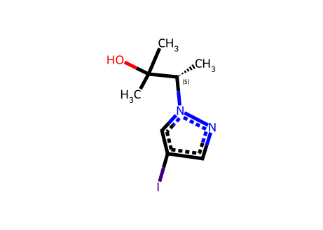 C[C@H](n1cc(I)cn1)C(C)(C)O